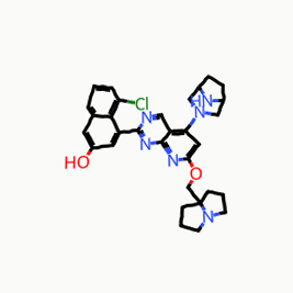 Oc1cc(-c2ncc3c(N4CC5CCC(C4)N5)cc(OCC45CCCN4CCC5)nc3n2)c2c(Cl)cccc2c1